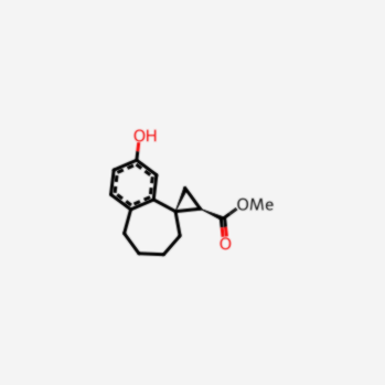 COC(=O)[C@@H]1C[C@]12CCCCc1ccc(O)cc12